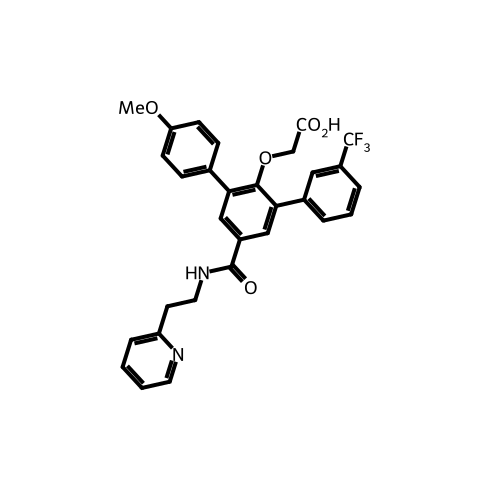 COc1ccc(-c2cc(C(=O)NCCc3ccccn3)cc(-c3cccc(C(F)(F)F)c3)c2OCC(=O)O)cc1